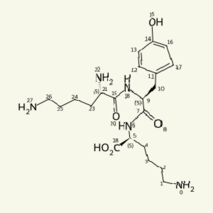 NCCCC[C@H](NC(=O)[C@H](Cc1ccc(O)cc1)NC(=O)[C@@H](N)CCCCN)C(=O)O